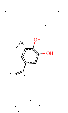 C=Cc1ccc(O)c(O)c1.CC(C)=O